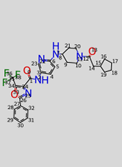 O=C(Nc1ccc(NC2CCN(C(=O)CC3CCCC3)CC2)nc1)c1nc(-c2ccccc2)oc1C(F)(F)F